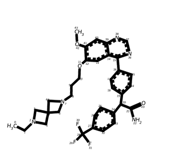 CCN1CC2(C1)CN(CCCOc1cc3c(-c4ccc(C(C(N)=O)c5ccc(C(F)(F)F)cc5)cc4)ncnc3cc1OC)C2